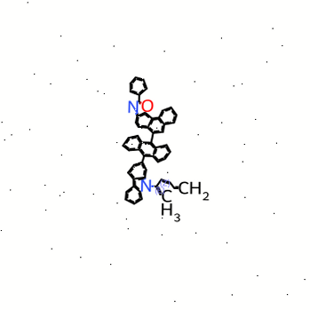 C=C/C=C\C(=C/C)n1c2ccccc2c2ccc(-c3c4ccccc4c(-c4cc5ccccc5c5c4ccc4nc(-c6ccccc6)oc45)c4ccccc34)cc21